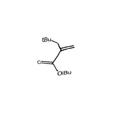 C=C(C(=O)OCC(C)C)C(C)(C)C